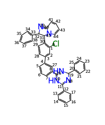 Clc1cc(-c2cccc(C3NC(c4ccccc4)=NC(c4ccccc4)N3)c2)ccc1C1C(c2ccccc2)N=C2C=CC=CN21